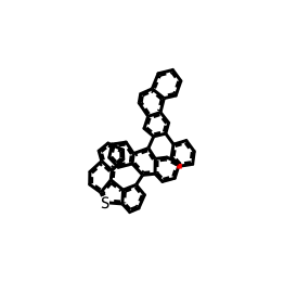 c1ccc(-c2cc3c(ccc4ccccc43)cc2-c2c3ccccc3c(-c3cccc4sc5ccc6ccccc6c5c34)c3ccccc23)cc1